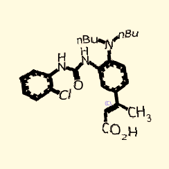 CCCCN(CCCC)c1ccc(/C(C)=C/C(=O)O)cc1NC(=O)Nc1ccccc1Cl